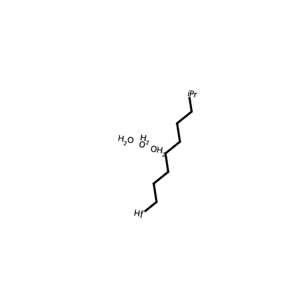 CC(C)CCCCCC[CH2][Hf].O.O.O